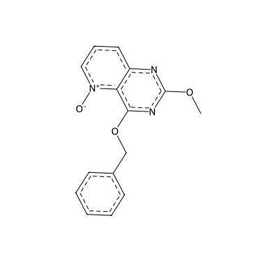 COc1nc(OCc2ccccc2)c2c(ccc[n+]2[O-])n1